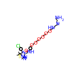 Cc1sc2c(c1C)C(c1ccc(Cl)cc1)=N[C@@H](CC(=O)Nc1ccc(OCCOCCOCCOCCOCCOCCNCCCN(C)CCCN)cc1)c1nnc(C)n1-2